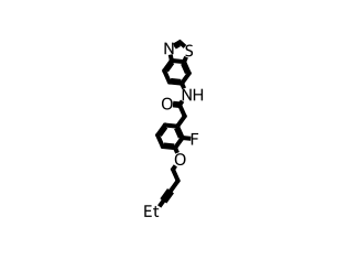 CCC#CCCOc1cccc(CC(=O)Nc2ccc3ncsc3c2)c1F